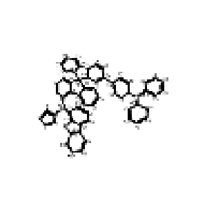 C1=CC=CC=1N(c1cccc2c1-c1ccccc1C21c2ccccc2C2C=CC(C3=CCC(N(c4ccccc4)C4C=CC=CC4)C=C3)=CC21)c1cccc2c3c(sc12)CCC=C3